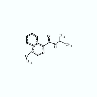 COc1ccc(C(=O)NC(C)C)c2ccccc12